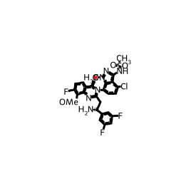 COc1c(F)ccc2c(=O)n(-c3ccc(Cl)c4c(NS(C)(=O)=O)nn(C)c34)c(C[C@H](N)c3cc(F)cc(F)c3)nc12